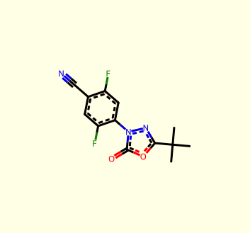 CC(C)(C)c1nn(-c2cc(F)c(C#N)cc2F)c(=O)o1